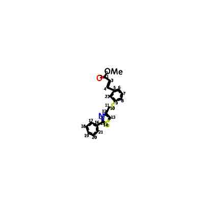 COC(=O)C=Cc1cccc(SCc2csc(-c3ccccc3)n2)c1